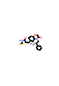 CC(CN1C(=O)COc2ccc(/C=C3/SC(=S)NC3=O)cc21)c1ccccc1